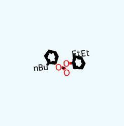 CCCCc1ccccc1OC(=O)Oc1cccc(CC)c1CC